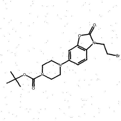 CC(C)(C)OC(=O)N1CCN(c2ccc3c(c2)oc(=O)n3CCBr)CC1